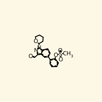 CS(=O)(=O)Oc1ccccc1-c1ccc2c(c1)c(C=O)nn2C1CCCCO1